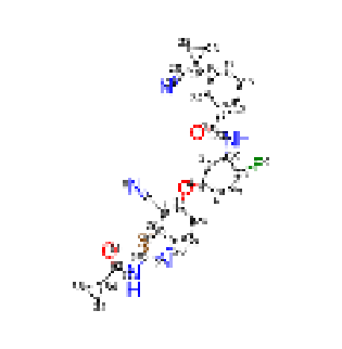 N#Cc1c(Oc2ccc(F)c(NC(=O)c3cccc(C4(C#N)CC4)c3)c2)ccc2nc(NC(=O)C3CC3)sc12